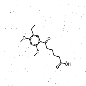 CCc1cc(C(=O)CCCCC(=O)O)c(OC)cc1OC